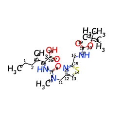 CCC[C@H](C)[C@H](NC(=O)N(C)Cc1csc(CNC(=O)OC(C)(C)C)n1)C(=O)O